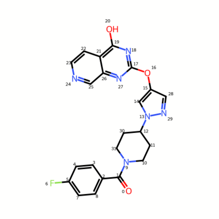 O=C(c1ccc(F)cc1)N1CCC(n2cc(Oc3nc(O)c4ccncc4n3)cn2)CC1